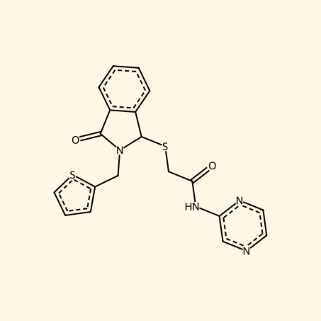 O=C(CSC1c2ccccc2C(=O)N1Cc1cccs1)Nc1cnccn1